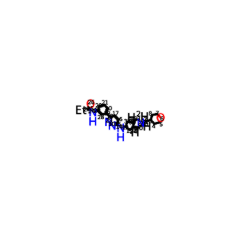 [2H]C([2H])(C1CCOCC1)N1C[C@H]2CC(Nc3ccc(-c4cccc(NC(=O)CC)c4)nn3)C[C@H]2C1